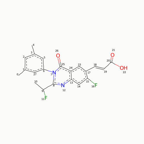 Cc1cc(C)cc(-n2c(C(C)F)nc3cc(F)c(/C=C/C(=O)O)cc3c2=O)c1